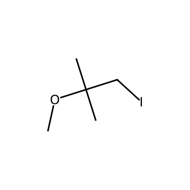 COC(C)(C)CI